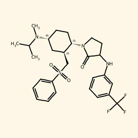 CC(C)N(C)[C@@H]1CC[C@H](N2CCC(Nc3cccc(C(F)(F)F)c3)C2=O)[C@@H](CS(=O)(=O)c2ccccc2)C1